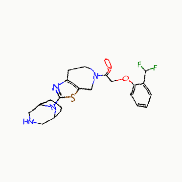 O=C(COc1ccccc1C(F)F)N1CCc2nc(N3C4CCC3CNC4)sc2C1